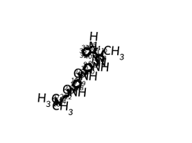 CCc1cnc(Nc2cccc(NC(=O)c3ccc(NC(=O)/C=C/CN(C)C)cc3)c2)nc1-c1c[nH]c2ccccc12